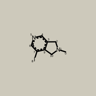 CN1Cc2cncc(I)c2C1